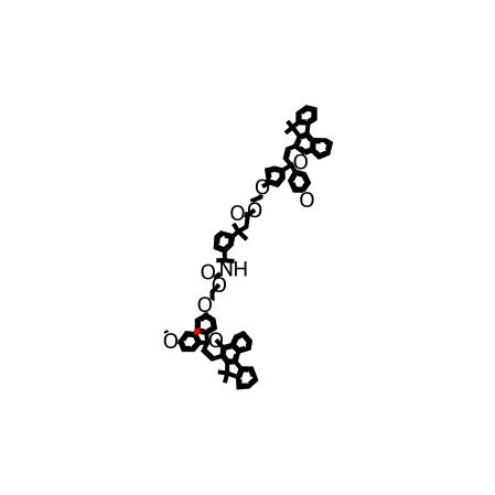 COc1ccc(C2(c3ccc(OCCOC(=O)CC(C)(C)c4cccc(C(C)(C)NC(=O)OCCOc5ccc(C6(c7ccc(OC)cc7)C=Cc7c8c(c9ccccc9c7O6)-c6ccccc6C8(C)C)cc5)c4)cc3)C=Cc3c4c(c5ccccc5c3O2)-c2ccccc2C4(C)C)cc1